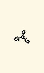 c1ccn2nc(-c3cc(-c4ccncc4)cc(-c4nc5ccccn5n4)c3)nc2c1